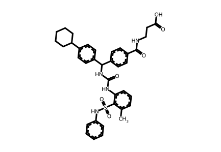 Cc1cccc(NC(=O)NC(c2ccc(C(=O)NCCC(=O)O)cc2)c2ccc(C3CCCCC3)cc2)c1S(=O)(=O)Nc1ccccc1